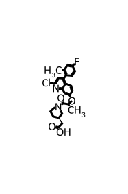 Cc1cc(F)ccc1-c1cc(Cl)nc2cc(OC(C)C(=O)N3CCC[C@H](CC(=O)O)C3)ccc12